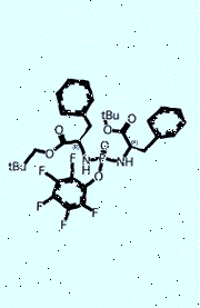 CC(C)(C)COC(=O)[C@@H](Cc1ccccc1)NP(=O)(N[C@H](Cc1ccccc1)C(=O)OC(C)(C)C)Oc1c(F)c(F)c(F)c(F)c1F